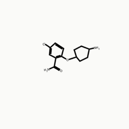 NC(=O)c1cc(Cl)ccc1OC1CCC(N)CC1